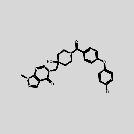 Cn1ncc2c(=O)n(CC3(O)CCN(C(=O)c4ccc(Oc5ccc(Cl)cc5)cc4)CC3)cnc21